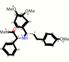 CNC(=O)[C@H](N[C@@H](CCc1ccc(OC)cc1)c1ccc(OC)c(OC)c1)c1ccccc1